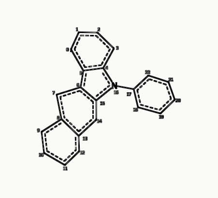 [c]1cccc2c1c1cc3ccccc3cc1n2-c1ccccc1